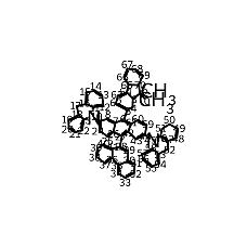 CC1(C)C2CC(c3c4cc(N5c6ccccc6Cc6ccccc65)ccc4c(-c4cc5ccccc5c5ccccc45)c4cc(N5C6=C(C=CCC6)Cc6ccccc65)ccc34)=CC=C2C2C=CC=CC21